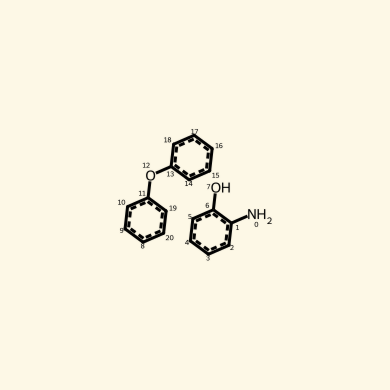 Nc1ccccc1O.c1ccc(Oc2ccccc2)cc1